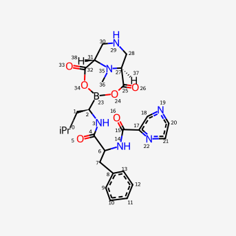 CC(C)C[C@H](NC(=O)C(Cc1ccccc1)NC(=O)c1cnccn1)B1OC(=O)[C@@H]2CNC[C@@H](C(=O)O1)N2C